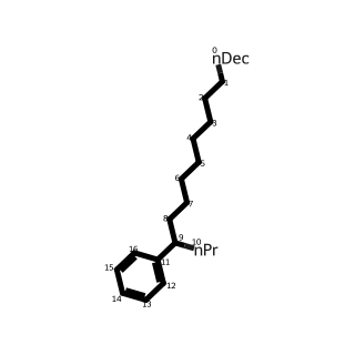 CCCCCCCCCCCCCCCCCCC(CCC)c1ccccc1